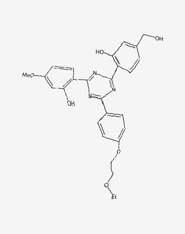 CCOCCOc1ccc(-c2nc(-c3ccc(CO)cc3O)nc(-c3ccc(OC)cc3O)n2)cc1